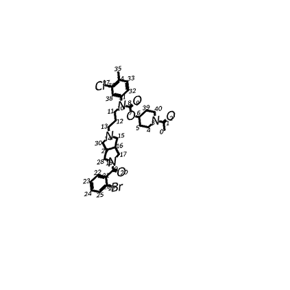 CC(=O)N1CCC(OC(=O)N(CCCN2CC3CN(C(=O)c4ccccc4Br)CC3C2)c2ccc(C)c(Cl)c2)CC1